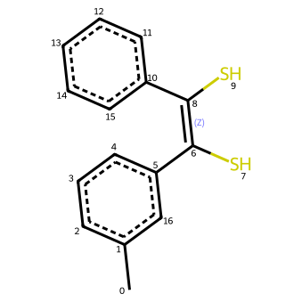 Cc1cccc(/C(S)=C(/S)c2ccccc2)c1